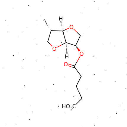 C[C@H]1CO[C@H]2[C@@H]1OC[C@H]2OC(=O)CCCC(=O)O